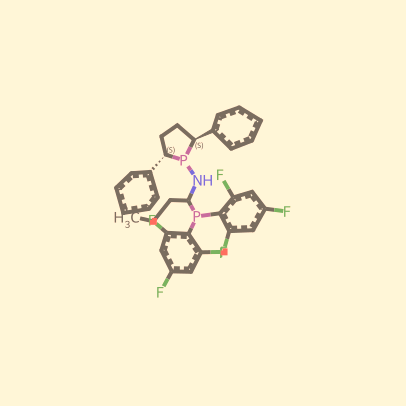 CCCC(NP1[C@H](c2ccccc2)CC[C@H]1c1ccccc1)P(c1c(F)cc(F)cc1F)c1c(F)cc(F)cc1F